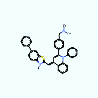 CCN(CC)Cc1ccc(C2=CC(=Cc3sc4cc(-c5ccccc5)ccc4[n+]3C)c3ccccc3N2c2ccccc2)cc1